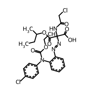 CCOC(=O)N(c1ccc(Cl)cc1)c1ccccc1N=NC(NC(=O)CCl)(C(=O)O)C(=O)OC(C)CC